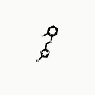 CCc1csc(COc2ccccc2Br)n1